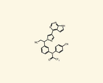 N#CCC(c1cccc(N(C(=O)C(F)(F)F)c2ccc(C#N)cc2)c1)n1cc(-c2ncnc3[nH]ccc23)cn1